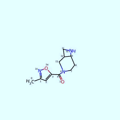 Cc1cc(C(=O)N2CCC3NCC3C2)on1